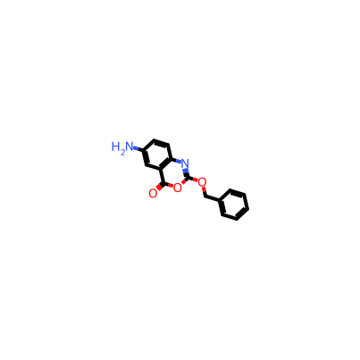 Nc1ccc2nc(OCc3ccccc3)oc(=O)c2c1